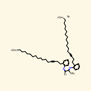 CCCCCCCCCCCCCCCCCCCCCCC#CCCc1ccccc1N=C(CC)C(CCCC)=Nc1ccccc1CCC#CCCCCCCCCCCCCCCCCCCCCCC.[Ni]